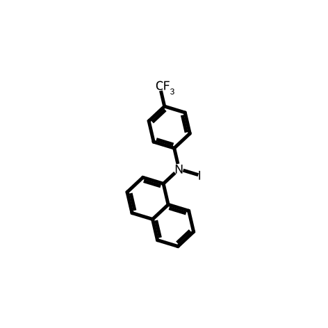 FC(F)(F)c1ccc(N(I)c2cccc3ccccc23)cc1